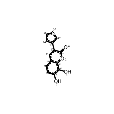 O=c1oc2c(O)c(O)ccc2cc1-c1ccsc1